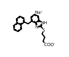 O=C([O-])CCCSc1nc2c(Cc3cccc4ccccc34)cccc2[nH]1.[Na+]